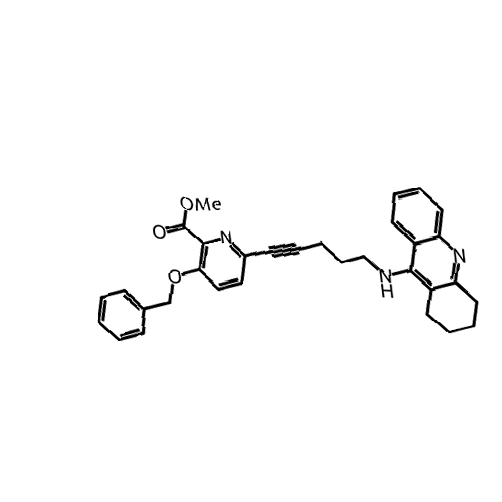 COC(=O)c1nc(C#CCCCNc2c3c(nc4ccccc24)CCCC3)ccc1OCc1ccccc1